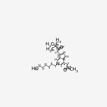 C/[N+]([O-])=C/c1cn(CCCCCCO)cc2c(/C=[N+](\[O-])C(C)(C)C)ccc1-2